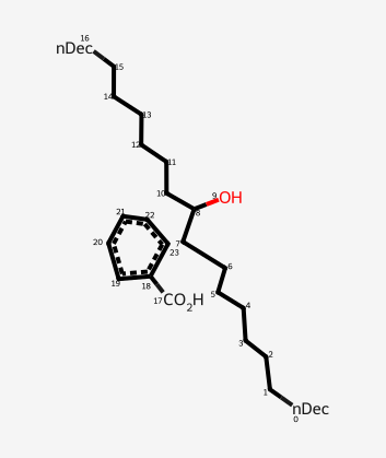 CCCCCCCCCCCCCCCCCC(O)CCCCCCCCCCCCCCCC.O=C(O)c1ccccc1